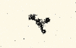 C=C(C)C(C(=O)OCc1cc(OC)c(OC)c(OC)c1)N1C(=O)C(NC(=O)COc2ccccc2)C1SSc1nc2ccccc2s1